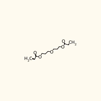 C=CC(=O)OCCCOCCCOC(=O)C=C